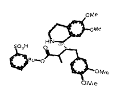 COc1ccc(CC(C(C)C(=O)OC(C)(C)C)[C@@H]2NCCc3cc(OC)c(OC)cc32)cc1OC.O=S(=O)(O)c1ccccc1